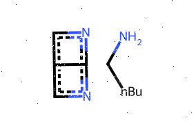 CCCCCN.c1nc2ncc1-2